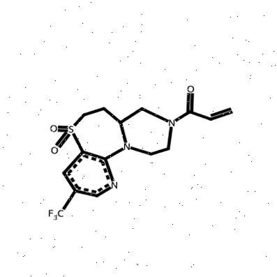 C=CC(=O)N1CCN2c3ncc(C(F)(F)F)cc3S(=O)(=O)CCC2C1